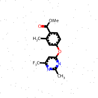 COC(=O)c1ccc(Oc2cc(C(F)(F)F)nc(C)n2)cc1C